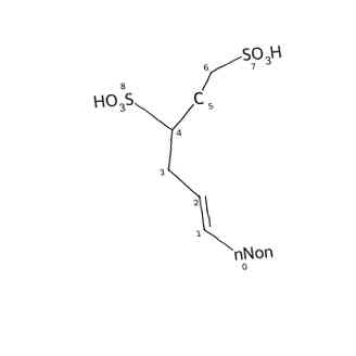 CCCCCCCCCC=CCC(CCS(=O)(=O)O)S(=O)(=O)O